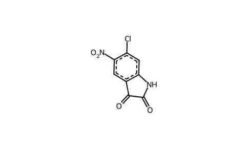 O=C1Nc2cc(Cl)c([N+](=O)[O-])cc2C1=O